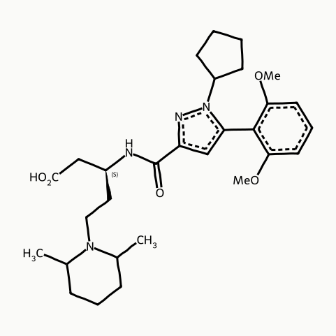 COc1cccc(OC)c1-c1cc(C(=O)N[C@@H](CCN2C(C)CCCC2C)CC(=O)O)nn1C1CCCC1